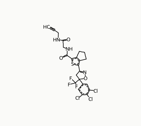 C#CCNC(=O)CNC(=O)c1sc(C2=NOC(c3cc(Cl)c(Cl)c(Cl)c3)(C(F)(F)F)C2)c2c1CCC2